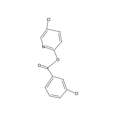 O=C(Oc1c[c]c(Cl)cn1)c1cccc(Cl)c1